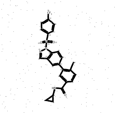 Cc1ccc(C(=O)NC2CC2)cc1-c1ccc2c(cnn2S(=O)(=O)c2ccc(C(F)(F)F)cc2)c1